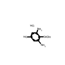 Cl.Cl.Nc1cc(O)cc(N)c1O